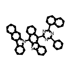 c1ccc(-c2nc(-c3cccc4ccccc34)nc(-c3c4ccccc4c(-n4c5ccccc5c5cc6ccccc6cc54)c4sc5ccccc5c34)n2)cc1